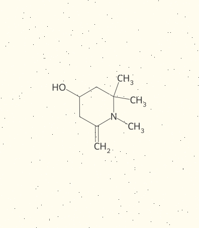 C=C1CC(O)CC(C)(C)N1C